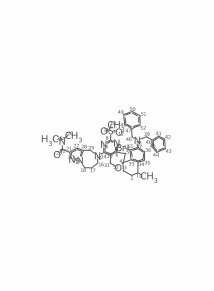 CC1CCC2(Cc3nc(S(C)(=O)=O)nc(N4CCCn5nc(C(=O)N(C)C)cc5C4)c3CO2)c2c1ccc(N(Cc1ccccc1)Cc1ccccc1)c2Br